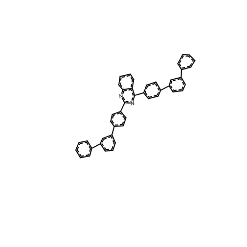 c1ccc(-c2cccc(-c3ccc(-c4nc(-c5ccc(-c6cccc(-c7ccccc7)c6)cc5)c5ccccc5n4)cc3)c2)cc1